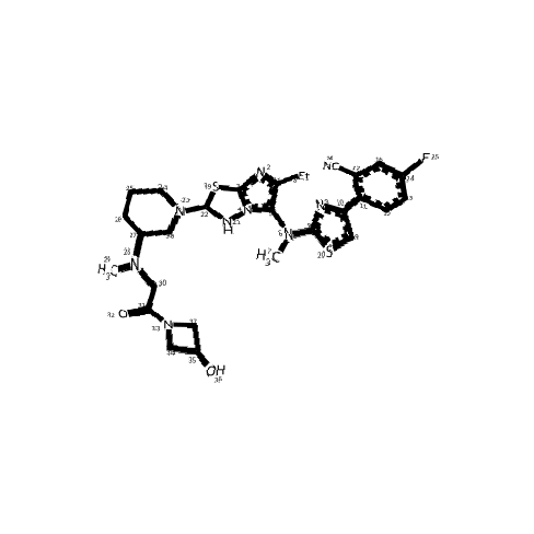 CCc1nc2n(c1N(C)c1nc(-c3ccc(F)cc3C#N)cs1)NC(N1CCCC(N(C)CC(=O)N3CC(O)C3)C1)S2